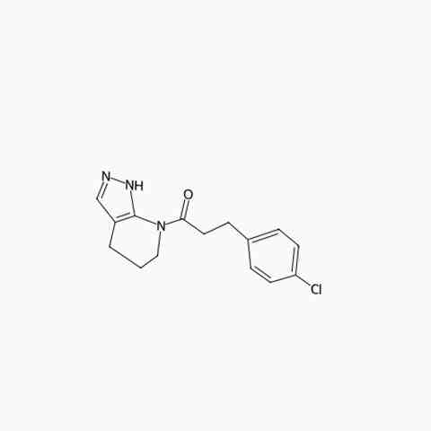 O=C(CCc1ccc(Cl)cc1)N1CCCc2cn[nH]c21